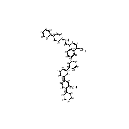 C=C(/C=C\C=C/NC1C=CC(C2C=CC=CC2)CC1)c1cccc(C2C=C(C3=CC=CC(c4ccc(C5CCCCC5)c(O)c4)C3)C=CC2)c1